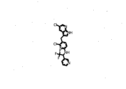 FC(F)(F)C(Nc1ccc(Cc2c[nH]c3ncc(Cl)cc23)c(Cl)n1)c1cccnc1